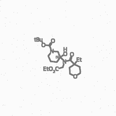 CCOC(=O)CN(C(=O)C1(CC)CCOCC1)[C@]1(O)CCCN(C(=O)OC(C)(C)C)C1